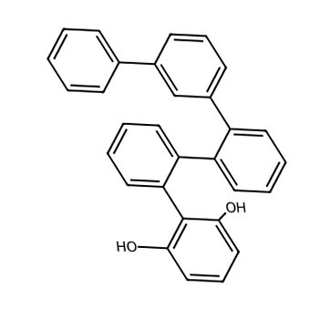 Oc1cccc(O)c1-c1ccccc1-c1ccccc1-c1cccc(-c2ccccc2)c1